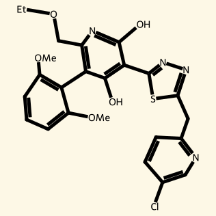 CCOCc1nc(O)c(-c2nnc(Cc3ccc(Cl)cn3)s2)c(O)c1-c1c(OC)cccc1OC